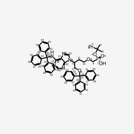 CC(C)C(C)(C)OP(=O)(O)COCCC(COC(c1ccccc1)(c1ccccc1)c1ccccc1)n1cnc2c(NC(c3ccccc3)(c3ccccc3)c3ccccc3)ncnc21